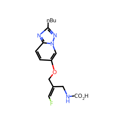 CCCCc1nc2ccc(OCC(=CF)CNC(=O)O)cn2n1